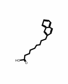 O=C(O)CCCCCCCCc1ccc2ccccc2c1